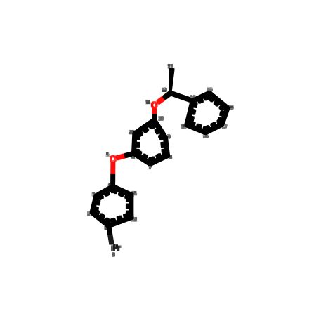 CC(C)c1ccc(Oc2cccc(O[C@@H](C)c3ccccc3)c2)cc1